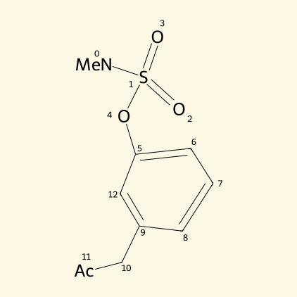 CNS(=O)(=O)Oc1cccc(CC(C)=O)c1